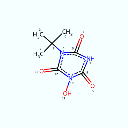 CC(C)(C)n1c(=O)[nH]c(=O)n(O)c1=O